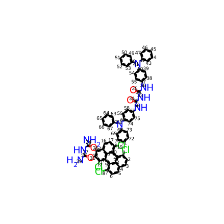 Clc1ccc2ccc(Cl)c3c4c(Cl)ccc5ccc(Cl)c(c1c23)c54.NC(=O)NC(N)=O.O=C(NC(=O)Nc1ccc(N(c2ccccc2)c2ccccc2)cc1)Nc1ccc(N(c2ccccc2)c2ccccc2)cc1